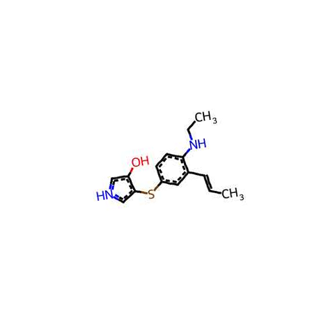 CC=Cc1cc(Sc2c[nH]cc2O)ccc1NCC